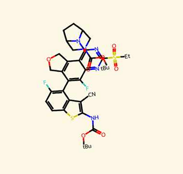 CCS(=O)(=O)c1nc(N2C3CCC2CN(C(=O)OC(C)(C)C)C3)c2c3c(c(-c4c(F)ccc5sc(NC(=O)OC(C)(C)C)c(C#N)c45)c(F)c2n1)COC3